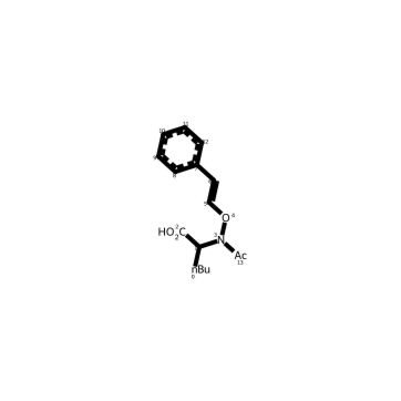 CCCCC(C(=O)O)N(OC=Cc1ccccc1)C(C)=O